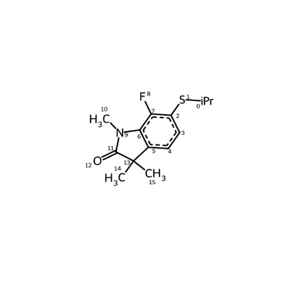 CC(C)Sc1ccc2c(c1F)N(C)C(=O)C2(C)C